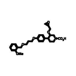 COc1ccccc1COCCCOc1ccc(C2CCN(C(=O)O)CC2OCC2CO2)cc1